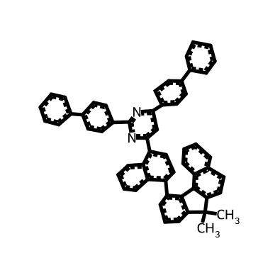 CC1(C)c2cccc(-c3ccc(-c4cc(-c5ccc(-c6ccccc6)cc5)nc(-c5ccc(-c6ccccc6)cc5)n4)c4ccccc34)c2-c2c1ccc1ccccc21